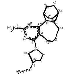 CN[C@@H]1CCN(c2nc(N)nc3c2CCCC2C4CCC(CC4)C32)C1